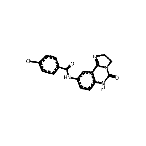 O=C(Nc1ccc2c(c1)C1=NCCN1C(=O)N2)c1ccc(Cl)cc1